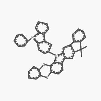 CC1(C)c2ccccc2-c2cc3c(cc21)c1ccc2c(c1n3-c1ccc3c(c1)c1ccccc1n3-c1ccccc1)Sc1ccccc1S2